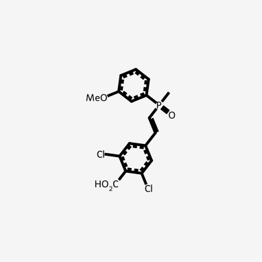 COc1cccc(P(C)(=O)C=Cc2cc(Cl)c(C(=O)O)c(Cl)c2)c1